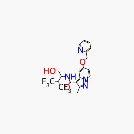 Cc1nn2ccc(OCc3ccccn3)cc2c1C(=O)NC(CO)C(C(F)(F)F)C(F)(F)F